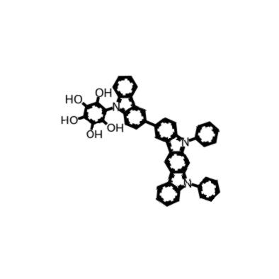 Oc1c(O)c(O)c(-n2c3ccccc3c3cc(-c4ccc5c(c4)c4cc6c7ccccc7n(-c7ccccc7)c6cc4n5-c4ccccc4)ccc32)c(O)c1O